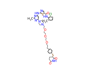 Cc1nc(Nc2ncc(C(=O)Nc3c(C)cccc3Cl)s2)cc(N2CCN(CCOCCOCCOCCCc3ccc(SC4CCC(=O)NC4=O)cc3)CC2)n1